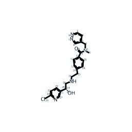 CN(Cc1ccnnc1)C(=O)c1ccc(CCNC[C@H](O)c2ccc(Cl)nc2)cc1